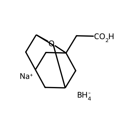 O=C(O)CC12CC3CC(CC(C3)O1)C2.[BH4-].[Na+]